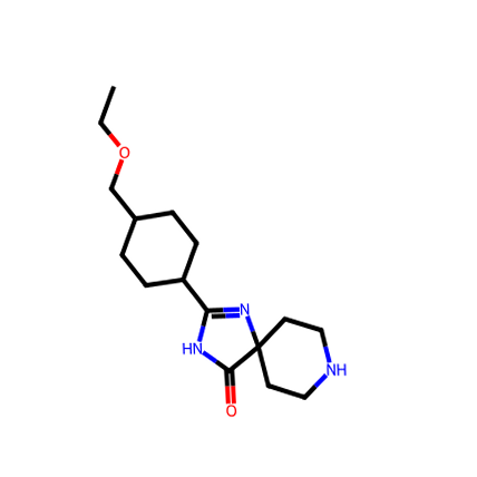 CCOCC1CCC(C2=NC3(CCNCC3)C(=O)N2)CC1